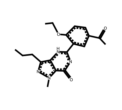 CCCc1nn(C)c2c(=O)nc(-c3cc(C(C)=O)ccc3OCC)[nH]c12